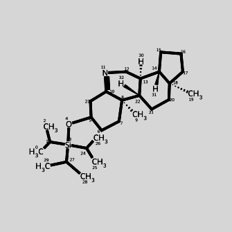 CC(C)[Si](OC1CC[C@@]2(C)C(=NC[C@H]3[C@@H]4CCC[C@@]4(C)CC[C@@H]32)C1)(C(C)C)C(C)C